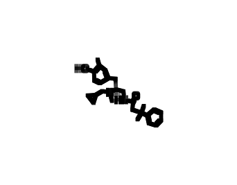 Cc1cc(C[C@@H](CNC(=O)CC(C)(C)c2ccccc2)N(C)CC2CC2)ccc1O